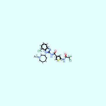 CC(=O)N1CCCC[C@@H](n2c(NC(=O)c3csc(NC(=O)C(F)Cl)c3)nc3cccc(Cl)c32)C1